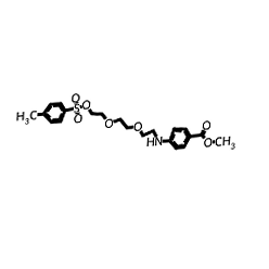 COC(=O)c1ccc(NCCOCCOCCOS(=O)(=O)c2ccc(C)cc2)cc1